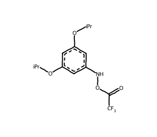 CC(C)Oc1cc(NOC(=O)C(F)(F)F)cc(OC(C)C)c1